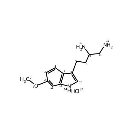 COc1ccc2c(CCC(N)CN)c[nH]c2c1.Cl